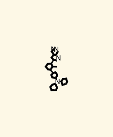 Cc1c(-c2ccc(N(c3ccccc3)c3ccccc3)cc2)cccc1-c1cnc2cnncc2c1